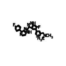 CN(C)Cc1cncc(-c2cc3c(-c4nc5c(-c6ccc(F)cc6)nccc5[nH]4)n[nH]c3cc2F)c1